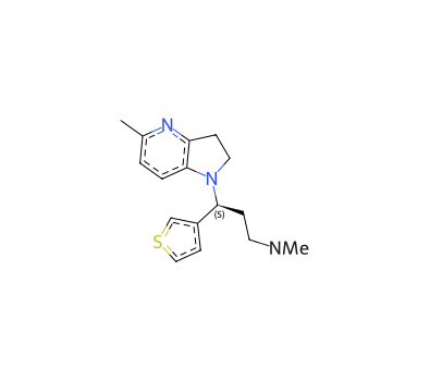 CNCC[C@@H](c1ccsc1)N1CCc2nc(C)ccc21